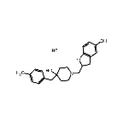 Cc1ccc(CC2(O)CCN(CC3Cc4cc(O)ccc4O3)CC2)cc1.Cl